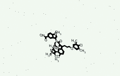 Cc1cc(OCCCc2c3n(c4c(-c5c(C)nn(C)c5C)c(Cl)ccc24)[C@H](C)CN(c2cn(C)c4ccc(C(=O)N=O)cc24)C3=O)cc(C)c1Cl